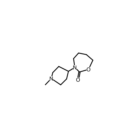 CN1CCC(N2CCCCOC2=O)CC1